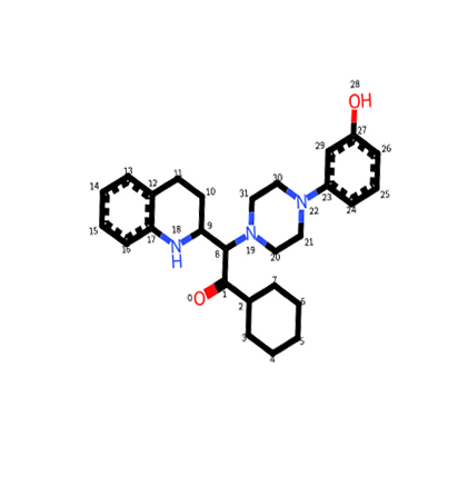 O=C(C1CCCCC1)C(C1CCc2ccccc2N1)N1CCN(c2cccc(O)c2)CC1